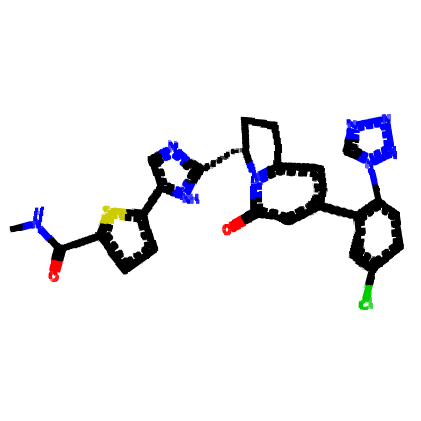 CNC(=O)c1ccc(-c2cnc([C@@H]3CCc4cc(-c5cc(Cl)ccc5-n5cnnn5)cc(=O)n43)[nH]2)s1